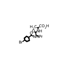 CC(NC(=O)C(NC(=O)c1ccc(Br)cc1)C(C)C)C(=O)O